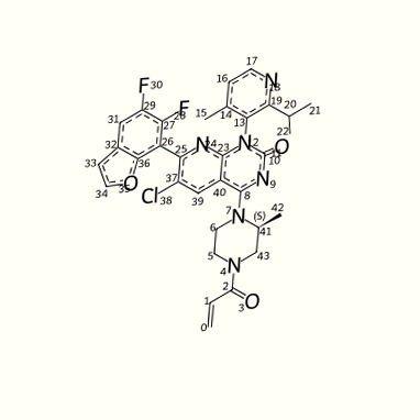 C=CC(=O)N1CCN(c2nc(=O)n(-c3c(C)ccnc3C(C)C)c3nc(-c4c(F)c(F)cc5ccoc45)c(Cl)cc23)[C@@H](C)C1